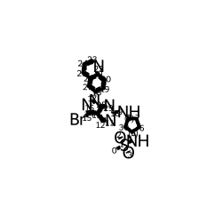 CS(=O)(=O)N[C@H]1CC[C@H](Nc2ncc3c(Br)nn(-c4ccc5ncccc5c4)c3n2)C1